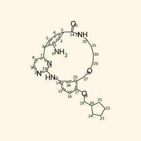 Nc1cc2ccc1-c1ccnc(n1)Nc1ccc(OCC3CCCC3)c(c1)COCCCCNC2=O